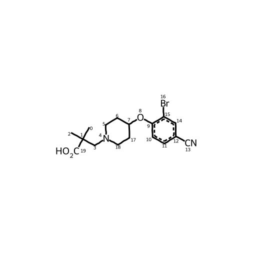 CC(C)(CN1CCC(Oc2ccc(C#N)cc2Br)CC1)C(=O)O